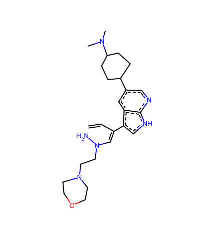 C=C/C(=C\N(N)CCN1CCOCC1)c1c[nH]c2ncc(C3CCC(N(C)C)CC3)cc12